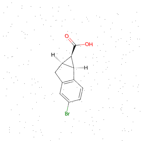 O=C(O)[C@@H]1[C@@H]2Cc3cc(Br)ccc3[C@@H]21